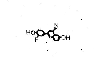 N#Cc1cc(-c2ccc(O)c(F)c2)[c]c2ccc(O)cc12